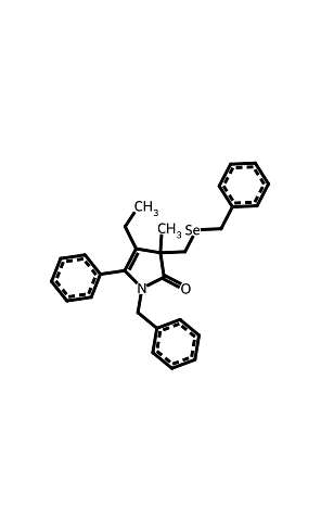 CCC1=C(c2ccccc2)N(Cc2ccccc2)C(=O)C1(C)C[Se]Cc1ccccc1